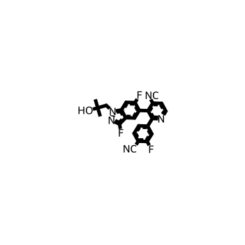 CC(C)(O)Cn1nc(F)c2cc(-c3c(C#N)ccnc3-c3ccc(C#N)c(F)c3)c(F)cc21